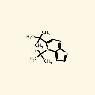 CC(C)(C)c1cnc2nccc-2n1C(C)(C)C